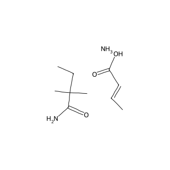 C/C=C/C(=O)O.CCC(C)(C)C(N)=O.N